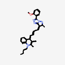 CCCCN1C(C)=C(C)\C(=C/C=C/C=c2/c(C)nn3c(-c4ccccc4OC)nnc23)c2ccccc21